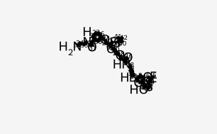 CSSC(F)(F)O[C@@H]1C[C@H](BC#CCNC(=O)COCCOC(COc2cccc(C(=O)NCCN)c2)SSC(C)(C)C)OC1CO